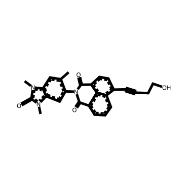 Cc1cc2c(cc1N1C(=O)c3cccc4c(C#CCCO)ccc(c34)C1=O)n(C)c(=O)n2C